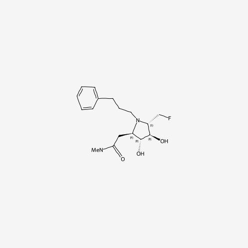 CNC(=O)C[C@@H]1[C@@H](O)[C@H](O)[C@@H](CF)N1CCCc1ccccc1